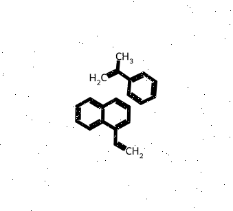 C=C(C)c1ccccc1.C=Cc1cccc2ccccc12